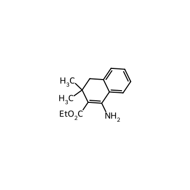 CCOC(=O)C1=C(N)c2ccccc2CC1(C)C